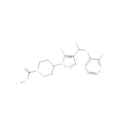 Cc1ncccc1OC(C)c1cnn(C2CCN(C(=O)OC(C)C)CC2)c1N